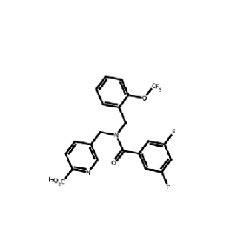 O=C(O)c1ccc(CN(Cc2ccccc2OC(F)(F)F)C(=O)c2cc(F)cc(F)c2)cn1